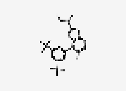 CCC(C)C1=Cc2c(ccc(C)c2-c2cc(C(C)(C)C)cc(C(C)(C)C)c2)[CH]1